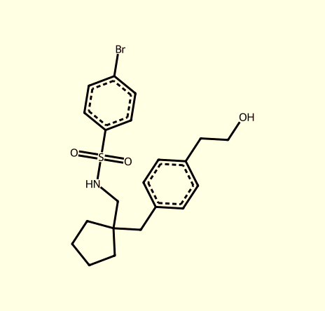 O=S(=O)(NCC1(Cc2ccc(CCO)cc2)CCCC1)c1ccc(Br)cc1